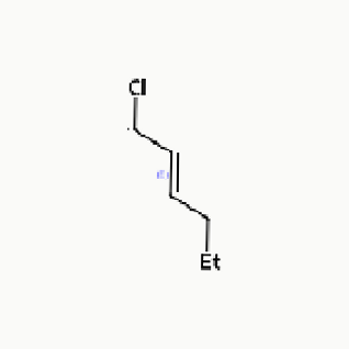 CCC/C=C/[CH]Cl